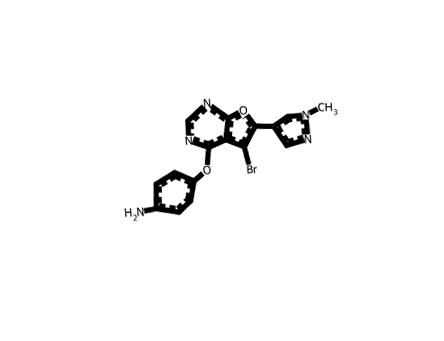 Cn1cc(-c2oc3ncnc(Oc4ccc(N)cc4)c3c2Br)cn1